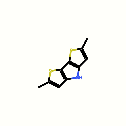 Cc1cc2[nH]c3cc(C)sc3c2s1